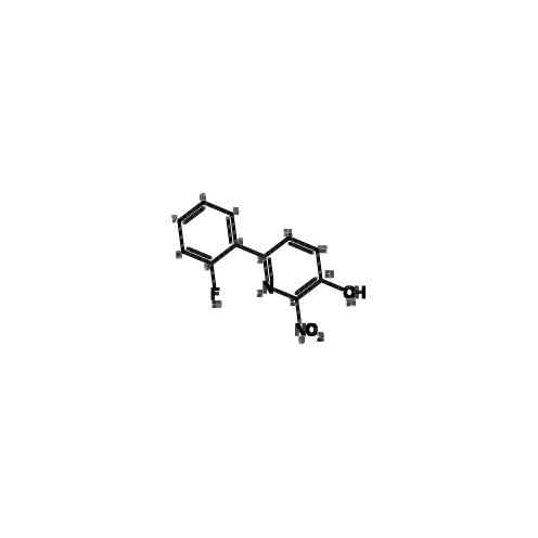 O=[N+]([O-])c1nc(-c2ccccc2F)ccc1O